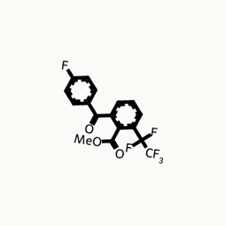 COC(=O)c1c(C(=O)c2ccc(F)cc2)cccc1C(F)(F)C(F)(F)F